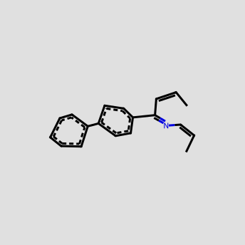 C\C=C/N=C(\C=C/C)c1ccc(-c2ccccc2)cc1